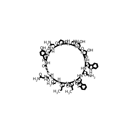 CCCC[C@H]1C(=O)N(C)[C@@H](CCCC)C(=O)N[C@@H](CN)C(=O)N[C@H](C(=O)NCC(N)=O)CSCC(=O)N[C@H]2Cc3ccc(O)cc3N(C2=O)[C@@H](C)C(=O)N[C@@H](CC(N)=O)C(=O)N2CCC[C@H]2C(=O)N[C@@H](CN)C(=O)N[C@@H](CC(=O)O)C(=O)N2C[C@H](O)C[C@H]2C(=O)N[C@@H](Cc2c[nH]c3ccccc23)C(=O)N[C@@H](CCN)C(=O)N[C@@H](Cc2csc3ccccc23)C(=O)N1C